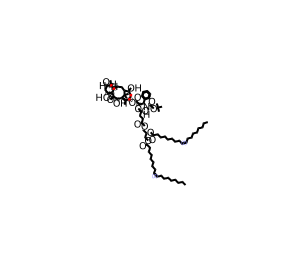 CCCCCCCC/C=C\CCCCCCCC(=O)OCC(COC(=O)CCC(=O)O[C@@H](C(=O)O[C@H]1CC(O)C2CC[C@@H]3[C@@H]4CO[C@@H]4C[C@H](O)[C@@]3(C)C(=O)[C@H](O)C(=C1C)C2(C)C)C(NC(=O)OC(C)(C)C)c1ccccc1)OC(=O)CCCCCCC/C=C\CCCCCCCC